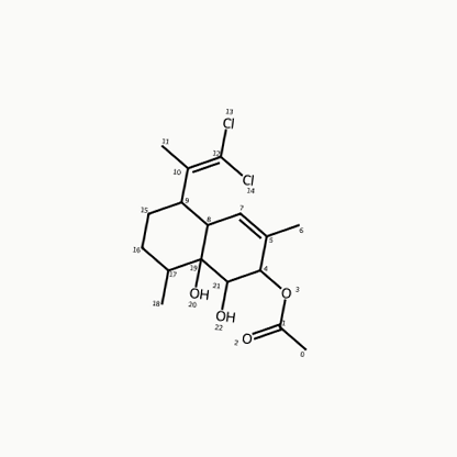 CC(=O)OC1C(C)=CC2C(C(C)=C(Cl)Cl)CCC(C)C2(O)C1O